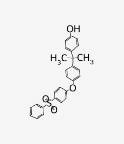 CC(C)(c1ccc(O)cc1)c1ccc(Oc2ccc(S(=O)(=O)c3ccccc3)cc2)cc1